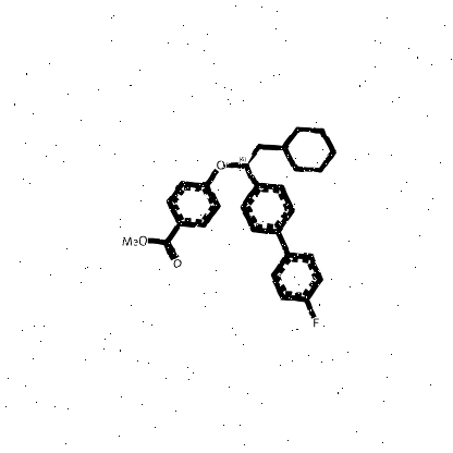 COC(=O)c1ccc(O[C@@H](CC2CCCCC2)c2ccc(-c3ccc(F)cc3)cc2)cc1